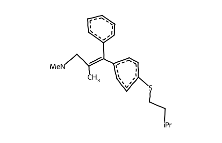 CNCC(C)=C(c1ccccc1)c1ccc(SCCC(C)C)cc1